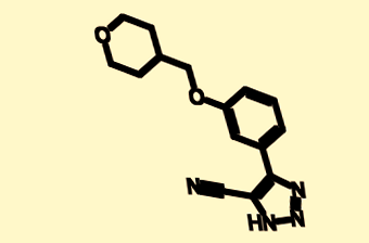 N#Cc1[nH]nnc1-c1cccc(OCC2CCOCC2)c1